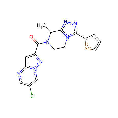 CC1c2nnc(-c3cccs3)n2CCN1C(=O)c1cc2ncc(Cl)cn2n1